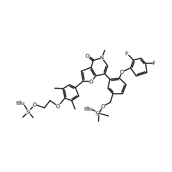 Cc1cc(-c2cc3c(=O)n(C)cc(-c4cc(CO[Si](C)(C)C(C)(C)C)ccc4Oc4ccc(F)cc4F)c3o2)cc(C)c1OCCO[Si](C)(C)C(C)(C)C